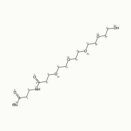 CC(C)(C)C(=O)CCNC(=O)CCOCCOCCOCCOCCO